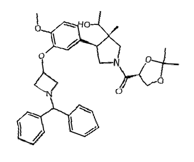 COc1ccc([C@@H]2CN(C(=O)[C@@H]3COC(C)(C)O3)C[C@@]2(C)C(C)O)cc1OC1CN(C(c2ccccc2)c2ccccc2)C1